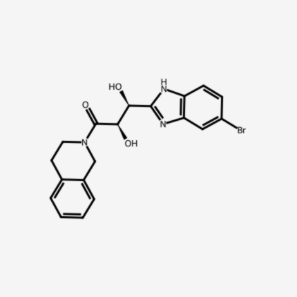 O=C([C@H](O)[C@@H](O)c1nc2cc(Br)ccc2[nH]1)N1CCc2ccccc2C1